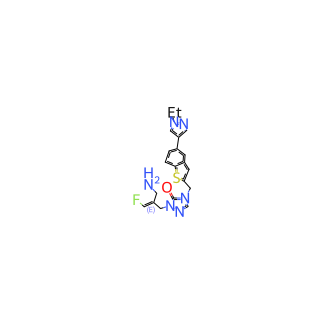 CCn1cc(-c2ccc3sc(Cn4cnn(C/C(=C/F)CN)c4=O)cc3c2)cn1